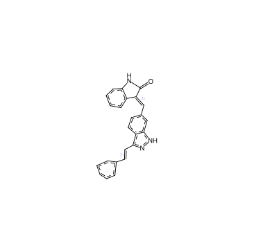 O=C1Nc2ccccc2/C1=C\c1ccc2c(/C=C/c3ccccc3)n[nH]c2c1